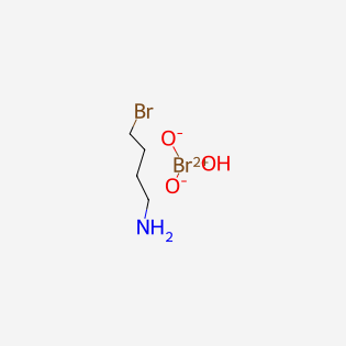 NCCCCBr.[O-][Br+2]([O-])O